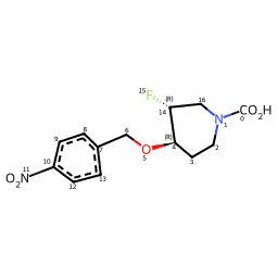 O=C(O)N1CC[C@@H](OCc2ccc([N+](=O)[O-])cc2)[C@H](F)C1